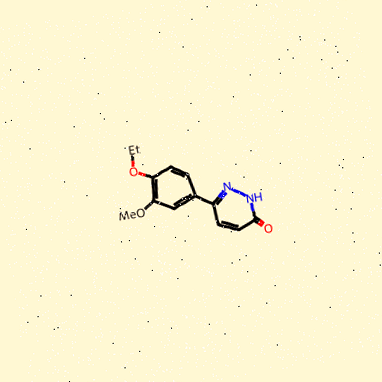 CCOc1ccc(-c2ccc(=O)[nH]n2)cc1OC